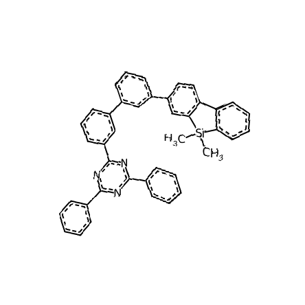 C[Si]1(C)c2ccccc2-c2ccc(-c3cccc(-c4cccc(-c5nc(-c6ccccc6)nc(-c6ccccc6)n5)c4)c3)cc21